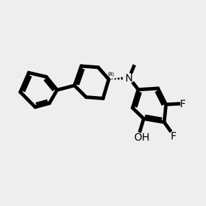 CN(c1cc(O)c(F)c(F)c1)[C@H]1CC=C(c2ccccc2)CC1